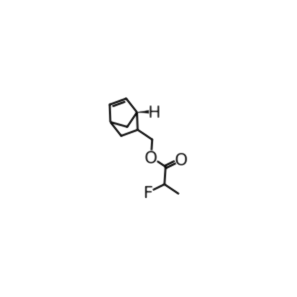 CC(F)C(=O)OCC1CC2C=C[C@H]1C2